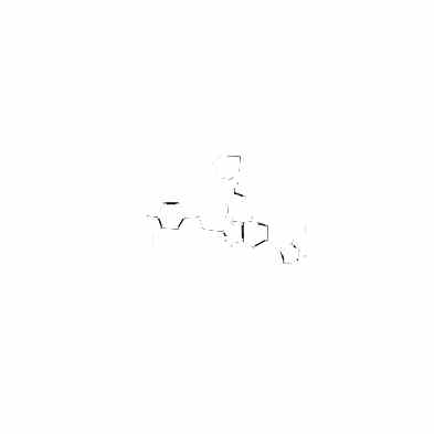 COc1ccc(CCc2nc3cc(-c4c(C)noc4C)cnc3n2CC(=O)N2CCOCC2)cc1F